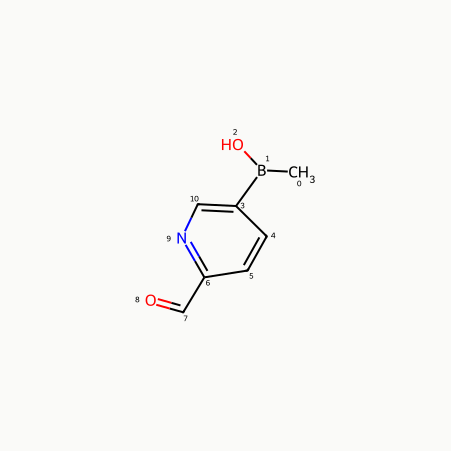 CB(O)c1ccc(C=O)nc1